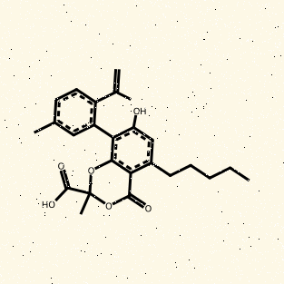 C=C(C)c1ccc(C)cc1-c1c(O)cc(CCCCC)c2c1OC(C)(C(=O)O)OC2=O